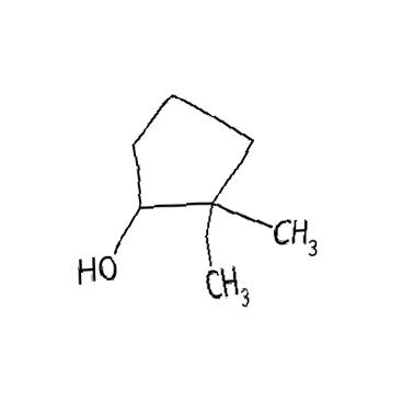 CC1(C)CCCC1O